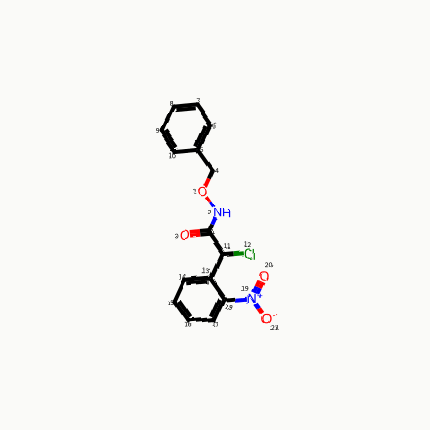 O=C(NOCc1ccccc1)C(Cl)c1ccccc1[N+](=O)[O-]